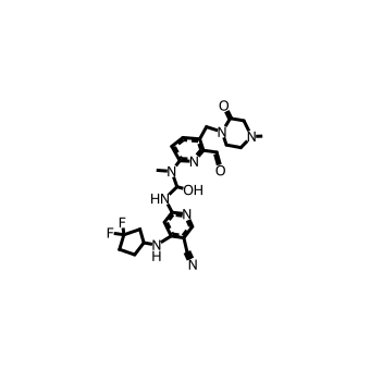 CN1CCN(Cc2ccc(N(C)C(O)Nc3cc(NC4CCC(F)(F)C4)c(C#N)cn3)nc2C=O)C(=O)C1